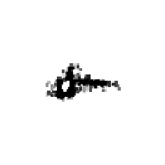 NCCC[C@H](N)CNC(=O)CCNC(=O)[C@@H]1Cc2cc(ccc2O)-c2ccc(O)c(c2)C[C@H](N)C(=O)N[C@@H](CCCN)C(=O)N1